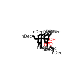 CCCCCCCCCCCCCC(CCCCCCCCCCCC)(CCCCCCCCCCCC)C(CCCCCCCCCCCC)(CCCCCCCCCCCC)C(CCCCCCCCCCCC)(CCCCCCCCCCCC)C(O)(CCCCCCCCCCCC)C(=O)OCCCCCCCCCCCC